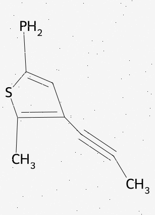 CC#Cc1cc(P)sc1C